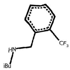 CCC(C)NCc1ccccc1C(F)(F)F